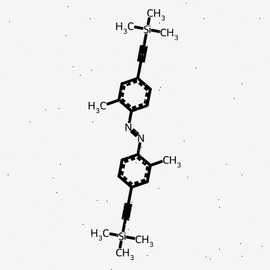 Cc1cc(C#C[Si](C)(C)C)ccc1N=Nc1ccc(C#C[Si](C)(C)C)cc1C